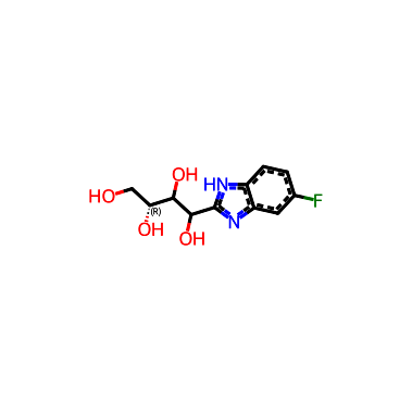 OC[C@@H](O)C(O)C(O)c1nc2cc(F)ccc2[nH]1